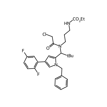 CCOC(=O)NCCCN(C(=O)CCl)C(c1cc(-c2cc(F)ccc2F)cn1Cc1ccccc1)C(C)(C)C